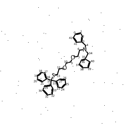 c1ccc(CN(CCOCCOCCSC(c2ccccc2)(c2ccccc2)c2ccccc2)Cc2ccccc2)cc1